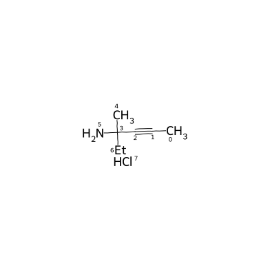 CC#CC(C)(N)CC.Cl